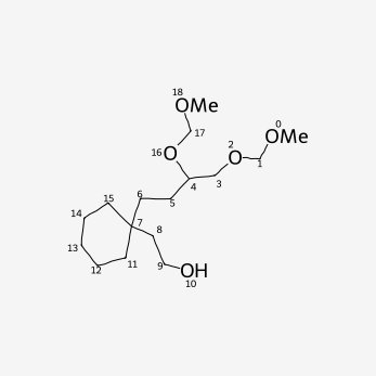 COCOCC(CCC1(CCO)CCCCC1)OCOC